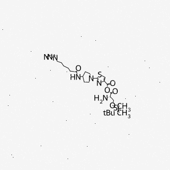 CC(C)(C)[Si](C)(C)OC[C@H](N)C(=O)OC(=O)c1csc(N2CCC(NC(=O)CCCCCN=[N+]=[N-])CC2)n1